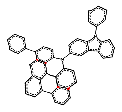 c1ccc(-c2ccc(N(c3ccc4c(c3)c3ccccc3n4-c3ccccc3)c3ccccc3-c3cccc4cccc(-c5ccccc5)c34)cc2)cc1